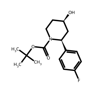 CC(C)(C)OC(=O)N1CC[C@@H](O)C[C@H]1c1ccc(F)cc1